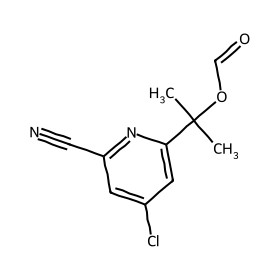 CC(C)(OC=O)c1cc(Cl)cc(C#N)n1